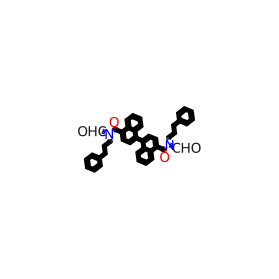 O=CN(CCCc1ccccc1)C(=O)c1ccc(-c2ccc(C(=O)N(C=O)CCCc3ccccc3)c3ccccc23)c2ccccc12